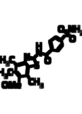 COc1c(C)c(C)c2nc(NC(=O)c3ccc(S(N)(=O)=O)cc3)sc2c1C